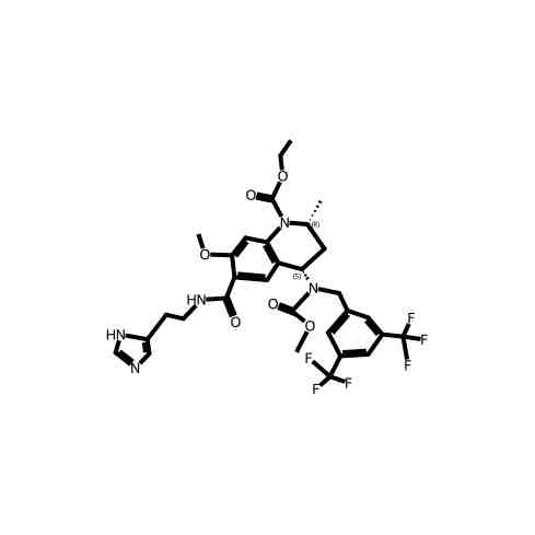 CCOC(=O)N1c2cc(OC)c(C(=O)NCCc3cnc[nH]3)cc2[C@@H](N(Cc2cc(C(F)(F)F)cc(C(F)(F)F)c2)C(=O)OC)C[C@H]1C